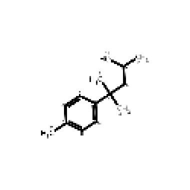 Cc1ccc(C(C)(C)CC(C)O)cc1